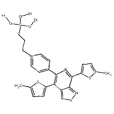 CCO[Si](CCC[n+]1ccc(-c2nc(-c3ccc(C)s3)c3nsnc3c2-c2ccc(C)s2)cc1)(OCC)OCC